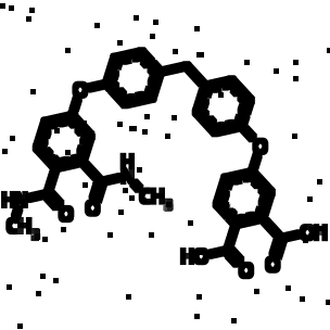 CNC(=O)c1ccc(Oc2ccc(Cc3ccc(Oc4ccc(C(=O)O)c(C(=O)O)c4)cc3)cc2)cc1C(=O)NC